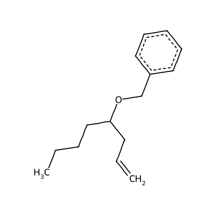 C=CCC(CCCC)OCc1ccccc1